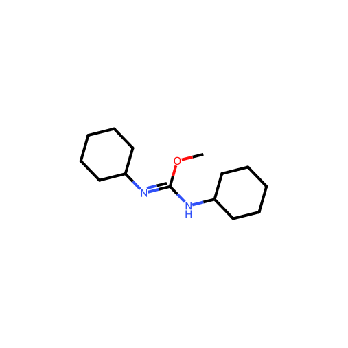 CO/C(=N\C1CCCCC1)NC1CCCCC1